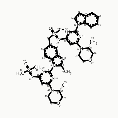 Cc1nc2cc(CS(C)(=O)=Nc3cc(N4CCOC[C@H]4C)nc(-n4ccc5ccccc54)n3)ccc2n1-c1nc(N=S(C)(C)=O)cc(N2CCOC[C@H]2C)n1